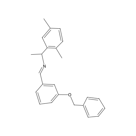 Cc1ccc(C)c(C(C)N=Cc2cccc(OCc3ccccc3)c2)c1